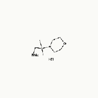 CNCC(C)(C)N1CCOCC1.Cl